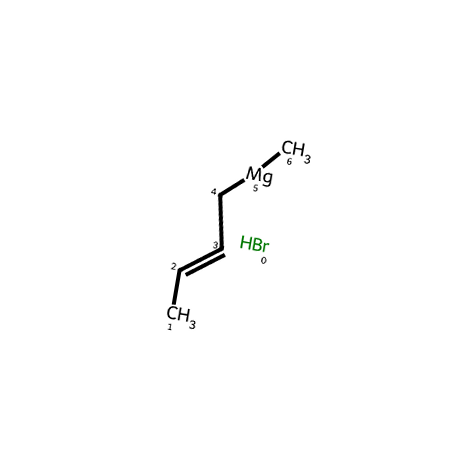 Br.CC=C[CH2][Mg][CH3]